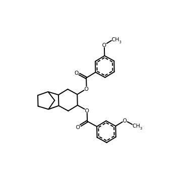 COc1cccc(C(=O)OC2CC3C4CCC(C4)C3CC2OC(=O)c2cccc(OC)c2)c1